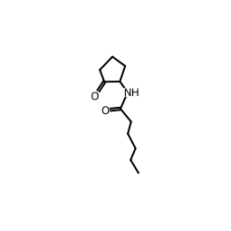 CCCCCC(=O)NC1CCCC1=O